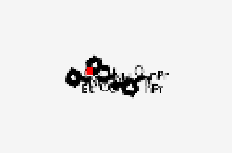 CCCN(CCC)C(=O)c1cccc(C(=O)N[C@@H](Cc2ccccc2)C(O)CNC(CC)(C(=O)O)c2ccccc2)c1